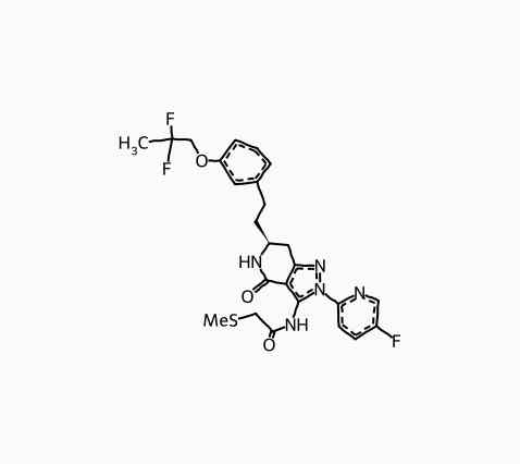 CSCC(=O)Nc1c2c(nn1-c1ccc(F)cn1)C[C@H](CCc1cccc(OCC(C)(F)F)c1)NC2=O